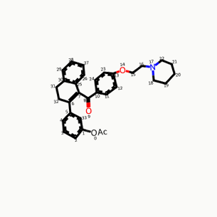 CC(=O)Oc1cccc(C2=C(C(=O)c3ccc(OCCN4CCCCC4)cc3)c3ccccc3CC2)c1